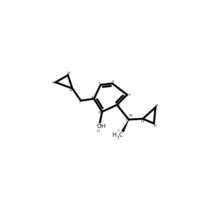 C[C@@H](c1cccc(CC2CC2)c1O)C1CC1